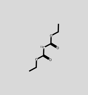 CCOC(=O)[13CH2]C(=O)OCC